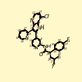 O=C(Nc1cc(-c2[nH]c3c(Cl)ccnc3c2-c2ccccn2)ccn1)[C@H](CC(F)F)c1ccc(F)cc1